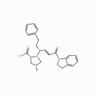 NC(=O)[C@@H]1C[C@H](F)CN1[C@H](/C=C/C(=O)N1CCc2ccccc21)CCc1ccccc1